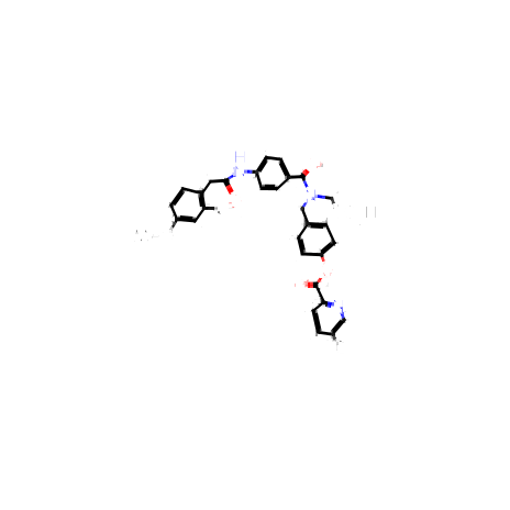 COc1ccc(CC(=O)Nc2ccc(C(=O)N(CC(=O)O)Cc3ccc(OC(=O)c4ccc(C(F)(F)F)cn4)cc3)cc2)c(C(F)(F)F)c1